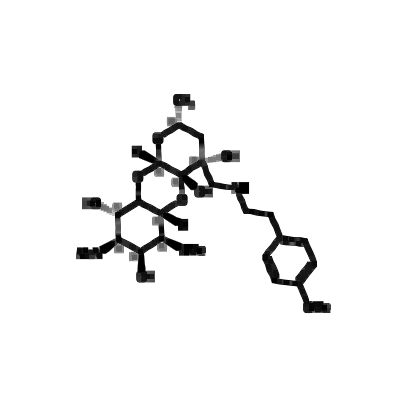 CN[C@@H]1[C@H](O)[C@H](NC)[C@H]2O[C@]3(O)[C@H](OC2[C@H]1O)O[C@H](C)C[C@@]3(O)CNCCc1ccc(OC)cc1